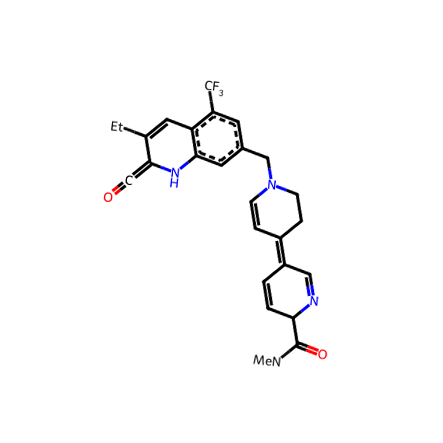 CCC1=Cc2c(cc(CN3C=CC(=C4C=CC(C(=O)NC)N=C4)CC3)cc2C(F)(F)F)NC1=C=O